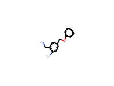 NCc1cc([CH]Oc2ccccc2)ccc1N